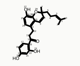 CC(C)=CCCC1(C)C=Cc2c(CCC(=O)c3ccc(O)cc3O)ccc(O)c2O1